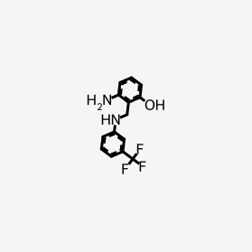 Nc1cccc(O)c1CNc1cccc(C(F)(F)F)c1